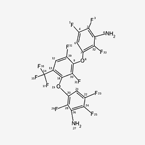 Nc1c(F)c(F)cc(Oc2c(F)cc(C(F)(F)F)c(Oc3cc(F)c(F)c(N)c3F)c2F)c1F